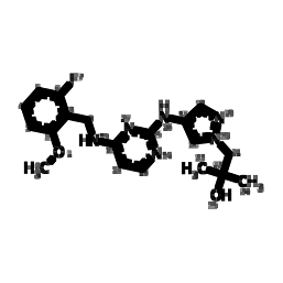 COc1cccc(F)c1CNc1ccnc(Nc2cnn(CC(C)(C)O)c2)n1